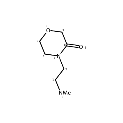 CNCCN1CCOCC1=O